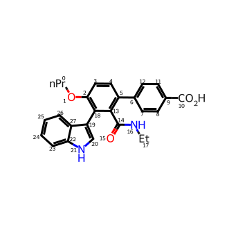 CCCOc1ccc(-c2ccc(C(=O)O)cc2)c(C(=O)NCC)c1-c1c[nH]c2ccccc12